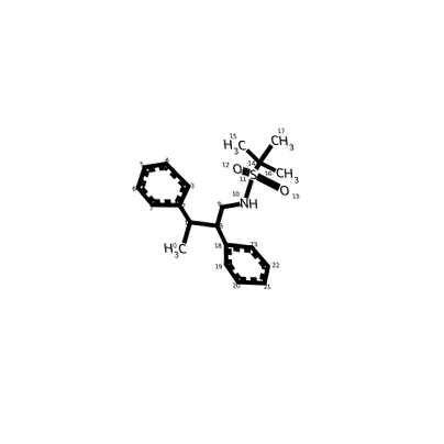 CC(c1ccccc1)C(CNS(=O)(=O)C(C)(C)C)c1ccccc1